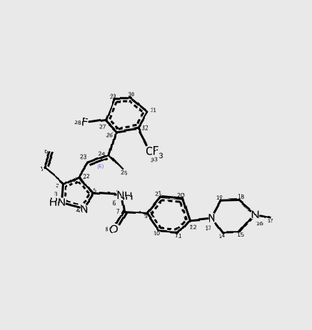 C=Cc1[nH]nc(NC(=O)c2ccc(N3CCN(C)CC3)cc2)c1/C=C(\C)c1c(F)cccc1C(F)(F)F